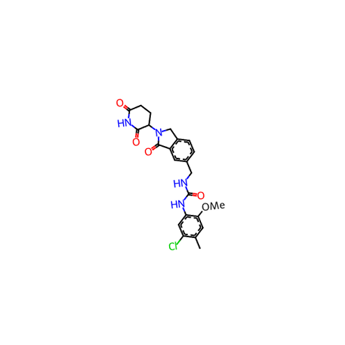 COc1cc(C)c(Cl)cc1NC(=O)NCc1ccc2c(c1)C(=O)N(C1CCC(=O)NC1=O)C2